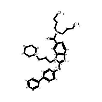 CCCCN(CCCC)C(=O)c1ccc2nc(Nc3ccc(-c4ccccc4)cc3)n(CCCN3CCCCC3)c2c1